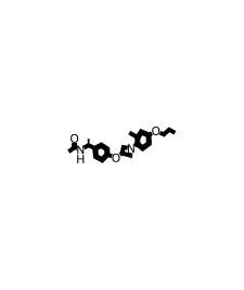 CCCOc1ccc(N2CC(Oc3ccc([C@H](C)NC(C)=O)cc3)C2)c(C)c1